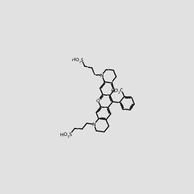 O=C(O)c1ccccc1-c1c2cc3c(cc2[o+]c2cc4c(cc12)CCCN4CCCS(=O)(=O)O)N(CCCS(=O)(=O)O)CCC3